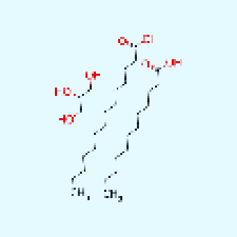 CCCCCCCCCCCC(=O)O.CCCCCCCCCCCCCC(=O)O.OCC(O)CO